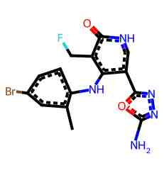 Cc1cc(Br)ccc1Nc1c(-c2nnc(N)o2)c[nH]c(=O)c1CF